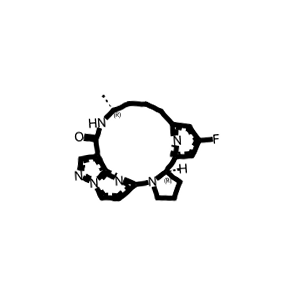 C[C@@H]1CCCc2cc(F)cc(n2)[C@H]2CCCN2c2ccn3ncc(c3n2)C(=O)N1